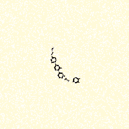 C/C=C/CCc1ccc(-c2cc(F)c(-c3ccc4nc(C(F)(F)Oc5cc(F)c(F)c(F)c5)sc4c3)c(F)c2)c(F)c1